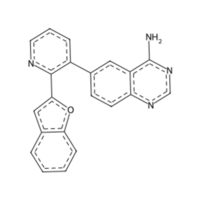 Nc1ncnc2ccc(-c3cccnc3-c3cc4ccccc4o3)cc12